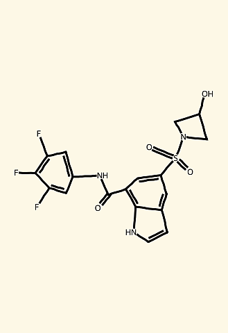 O=C(Nc1cc(F)c(F)c(F)c1)c1cc(S(=O)(=O)N2CC(O)C2)cc2cc[nH]c12